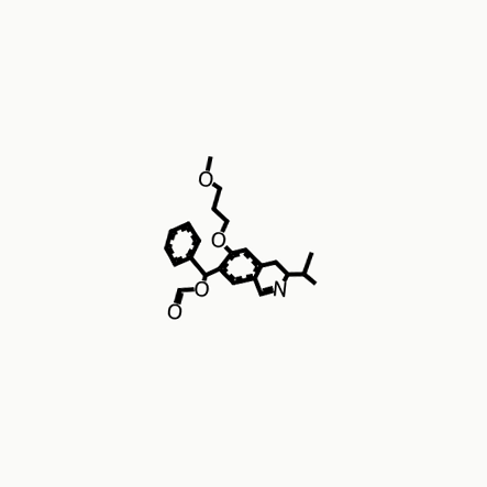 COCCCOc1cc2c(cc1C(OC=O)c1ccccc1)C=NC(C(C)C)C2